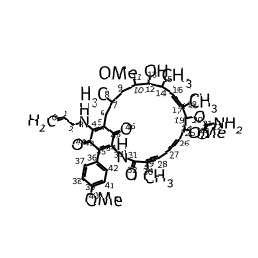 C=CCNC1=C2CC(C)CC(OC)C(O)C(C)C=C(C)C(OC(N)=O)C(OC)C=CC=C(C)C(=O)NC(=C(c3ccc(OC)cc3)C1=O)C2=O